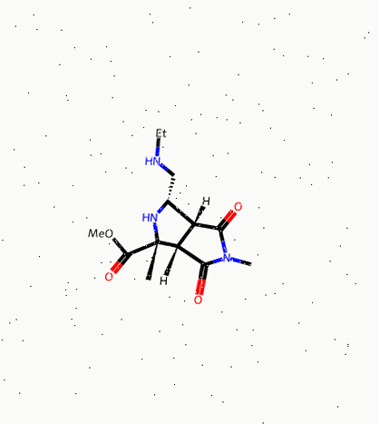 CCNC[C@H]1N[C@@](C)(C(=O)OC)[C@H]2C(=O)N(C)C(=O)[C@@H]12